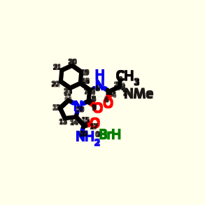 Br.CN[C@@H](C)C(=O)N[C@H](C(=O)N1CCCC1C(N)=O)C1CCCCC1